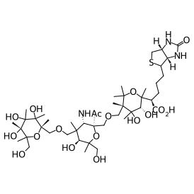 CC(=O)N[C@H]1C(C)(COC[C@]2(C)OC(C)(CO)[C@](C)(O)C(C)(O)C2(C)O)[C@H](O)C(C)(CO)O[C@]1(C)COC[C@]1(C)C(C)(C)OC(C)([C@@H](CCCC2SC[C@@H]3NC(=O)N[C@H]23)C(=O)O)[C@H](O)C1(C)O